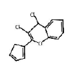 ClC1=C(C2=CC=CC2)Oc2ccccc2C1Cl